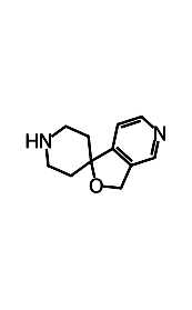 c1cc2c(cn1)COC21CCNCC1